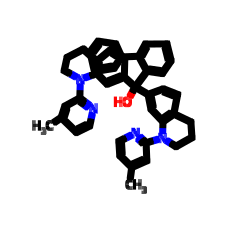 Cc1ccnc(N2CCCc3ccc(C(O)(c4ccc5c(c4)N(c4cc(C)ccn4)CCC5)c4ccccc4-c4ccccc4)cc32)c1